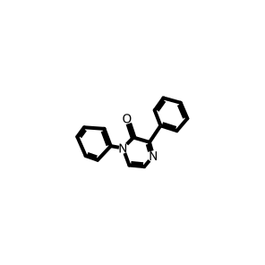 O=c1c(-c2ccccc2)nccn1-c1ccccc1